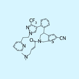 CN(C)C/C=C/C(=O)N1Cc2sc(C#N)cc2C(c2ccccc2-c2cn(CCc3ccccn3)nc2C(F)(F)F)C1